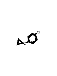 Clc1ccc(OC2CC2)cc1